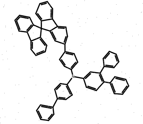 C1=C=CC2=C(C=1)c1ccccc1C21c2ccccc2-c2ccc(-c3ccc(N(c4ccc(-c5ccccc5)cc4)c4ccc(-c5ccccc5)c(-c5ccccc5)c4)cc3)cc21